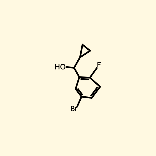 OC(c1cc(Br)ccc1F)C1CC1